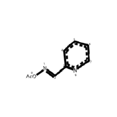 CC(=O)ON=Cc1ccccn1